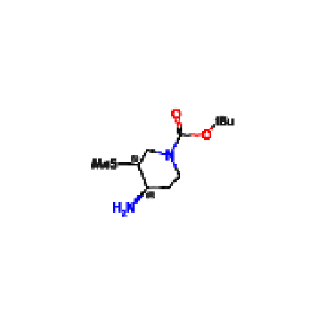 CS[C@H]1CN(C(=O)OC(C)(C)C)CC[C@H]1N